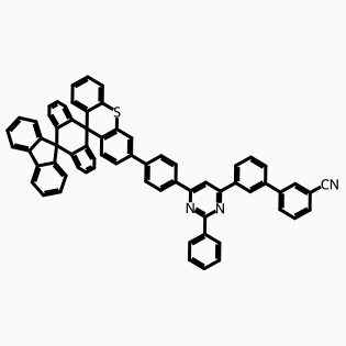 N#Cc1cccc(-c2cccc(-c3cc(-c4ccc(-c5ccc6c(c5)Sc5ccccc5C65c6ccccc6C6(c7ccccc7-c7ccccc76)c6ccccc65)cc4)nc(-c4ccccc4)n3)c2)c1